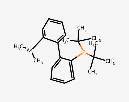 C[As](C)c1ccccc1-c1ccccc1P(C(C)(C)C)C(C)(C)C